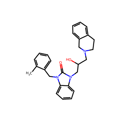 Cc1ccccc1Cn1c(=O)n(CC(O)CN2CCc3ccccc3C2)c2ccccc21